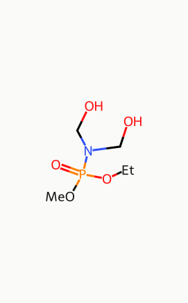 CCOP(=O)(OC)N(CO)CO